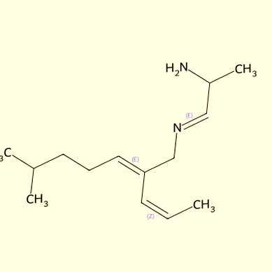 C/C=C\C(=C/CCC(C)C)C/N=C/C(C)N